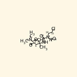 CN(C)S(=O)(=O)CC(C)(C)NC(=O)N(CCCl)N=O